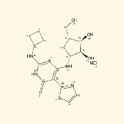 Cl.O=c1[nH]c(NC2CCC2)nc(N[C@@H]2C[C@H](CO)[C@@H](O)[C@H]2O)c1-c1nccs1